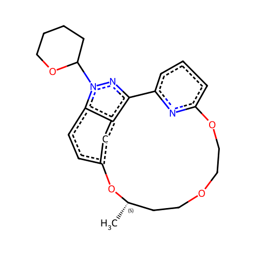 C[C@H]1CCOCCOc2cccc(n2)-c2nn(C3CCCCO3)c3ccc(cc23)O1